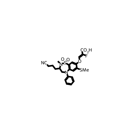 CSc1cc2c(cc1O/C=C(\F)C(=O)O)S(=O)(=O)N(C)C(CCCC#N)CN2c1ccccc1